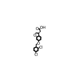 O=C(O)C[C@@H]1COc2cc(OCc3ccc(Cl)cc3Cl)ccc21